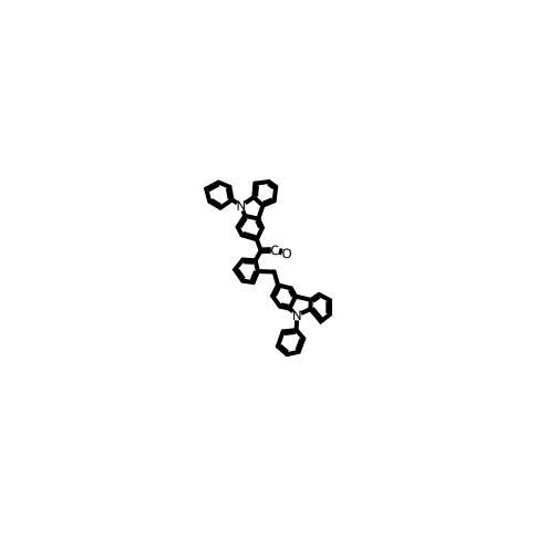 O=C=C(c1ccc2c(c1)c1ccccc1n2-c1ccccc1)c1ccccc1Cc1ccc2c(c1)c1ccccc1n2-c1ccccc1